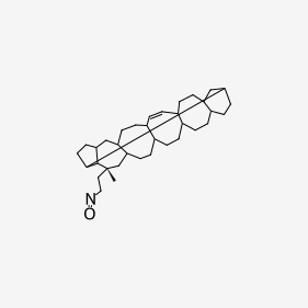 C[C@]1(CCN=O)CC2CCC3CCC4CCC5CCC6CC5CCC4/C=C\C3CCC2CC2CCC6C21